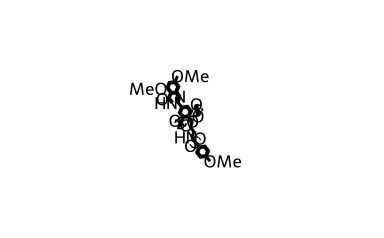 COc1ccc(S(=O)(=O)NCCOc2c(S(C)(=O)=O)cc(-c3nc4cc(OC)cc(OC)c4c(=O)[nH]3)cc2S(C)(=O)=O)cc1